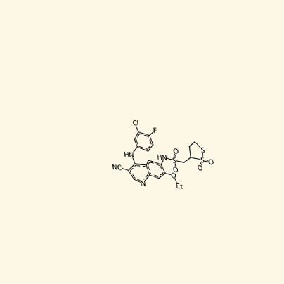 CCOc1cc2ncc(C#N)c(Nc3ccc(F)c(Cl)c3)c2cc1NS(=O)(=O)CC1CCSS1(=O)=O